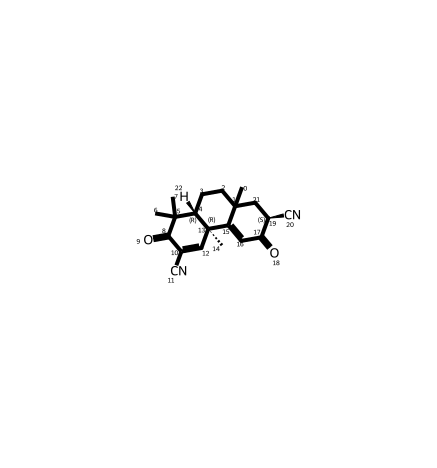 CC12CC[C@H]3C(C)(C)C(=O)C(C#N)=C[C@]3(C)C1=CC(=O)[C@H](C#N)C2